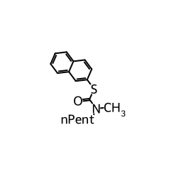 CCCCCN(C)C(=O)Sc1ccc2ccccc2c1